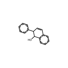 OC1c2ccccc2C=CC1c1ccccc1